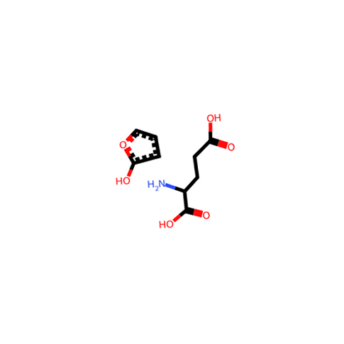 NC(CCC(=O)O)C(=O)O.Oc1ccco1